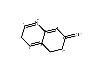 O=C1C=C2N=CCC=C2CC1